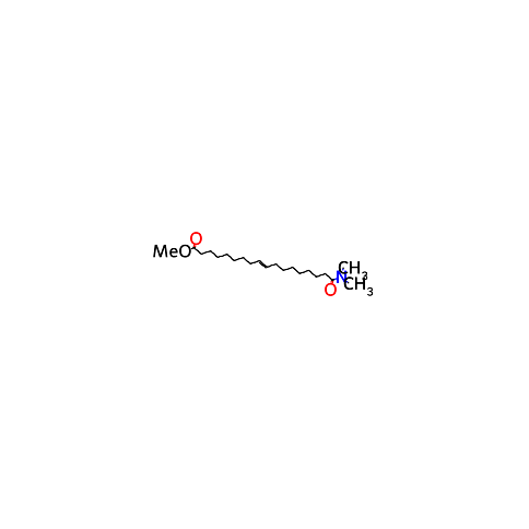 COC(=O)CCCCCCC/C=C/CCCCCCCC(=O)N(C)C